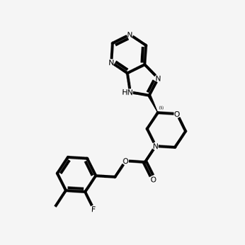 Cc1cccc(COC(=O)N2CCO[C@H](c3nc4cncnc4[nH]3)C2)c1F